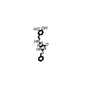 O=c1nc(SCc2ccccc2)[nH]c2nc(NCCc3ccc(O)c(O)c3)sc12